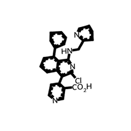 O=C(O)c1cnccc1-c1c(Cl)nc(NCc2ccccn2)c2c(-c3ccccc3)cccc12